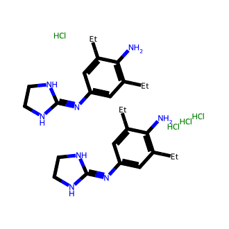 CCc1cc(N=C2NCCN2)cc(CC)c1N.CCc1cc(N=C2NCCN2)cc(CC)c1N.Cl.Cl.Cl.Cl